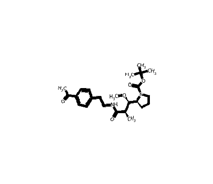 CO[C@H]([C@@H](C)C(=O)NCCc1ccc(C(C)=O)cc1)[C@@H]1CCCN1C(=O)OC(C)(C)C